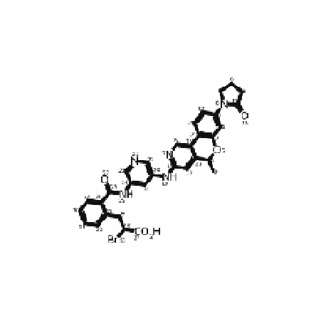 CC1Oc2cc(N3CCCC3=O)ccc2-c2cnc(Nc3cncc(NC(=O)c4ccccc4CC(Br)C(=O)O)c3)cc21